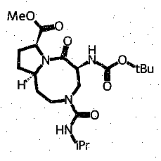 COC(=O)[C@@H]1CC[C@@H]2CCN(C(=O)NC(C)C)C[C@H](NC(=O)OC(C)(C)C)C(=O)N21